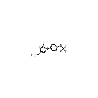 OCc1cn(-c2ccc(SC(F)(F)F)cc2)c(I)n1